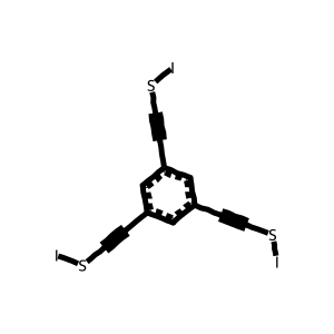 ISC#Cc1cc(C#CSI)cc(C#CSI)c1